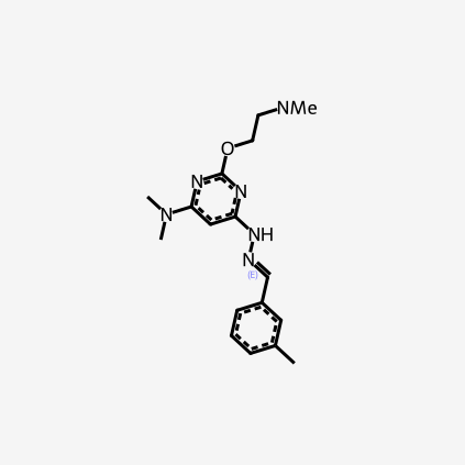 CNCCOc1nc(N/N=C/c2cccc(C)c2)cc(N(C)C)n1